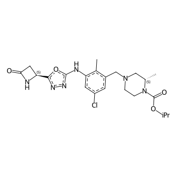 Cc1c(CN2CCN(C(=O)OC(C)C)[C@@H](C)C2)cc(Cl)cc1Nc1nnc([C@@H]2CC(=O)N2)o1